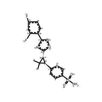 CC1(C)[C@H](c2ccc(S(N)(=O)=O)cn2)[C@H]1c1nc(-c2ccc(F)cc2F)no1